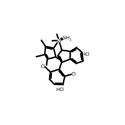 CC1=C(C)C(C)[C]([Zr]([CH3])([CH3])(=[SiH2])[CH]2C=C(c3c(Cl)cccc3Cl)c3ccccc32)=C1C.Cl.Cl